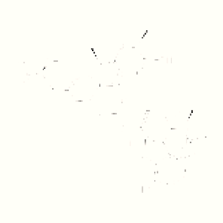 Cc1ccc(O)c2c1[C@]13CCN(C)[C@H](C)[C@]1(O)CC=C(OC(=O)C[C@H](CC(=O)C[C@H](O)C(=O)O)C(=O)O[C@@H](C)C(=O)O[C@@H](C)C(=O)O)[C@@H]3O2